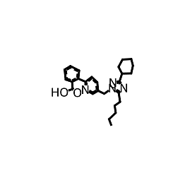 CCCCCc1nc(C2CCCCC2)nn1Cc1ccc(-c2ccccc2C(=O)O)nc1